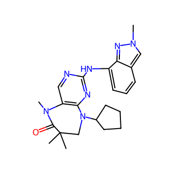 CN1C(=O)C(C)(C)CN(C2CCCC2)c2nc(Nc3cccc4cn(C)nc34)ncc21